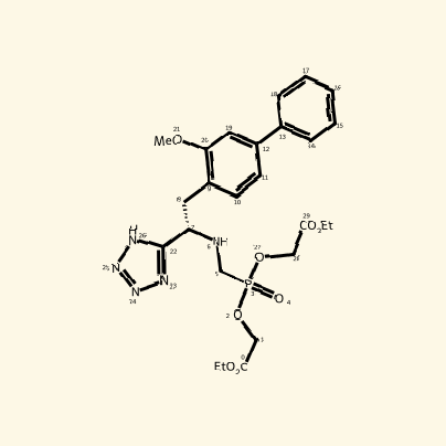 CCOC(=O)COP(=O)(CN[C@@H](Cc1ccc(-c2ccccc2)cc1OC)c1nnn[nH]1)OCC(=O)OCC